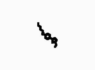 CCC=CCOc1ccc(-c2ccc(CC)s2)cc1